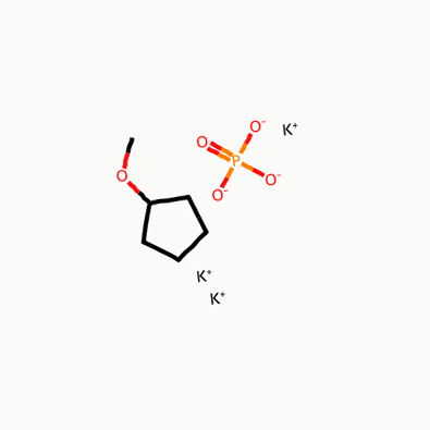 COC1CCCC1.O=P([O-])([O-])[O-].[K+].[K+].[K+]